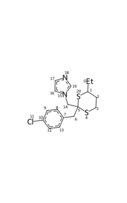 CCC1CCSC(Cc2ccc(Cl)cc2)(Cn2ccnc2)S1